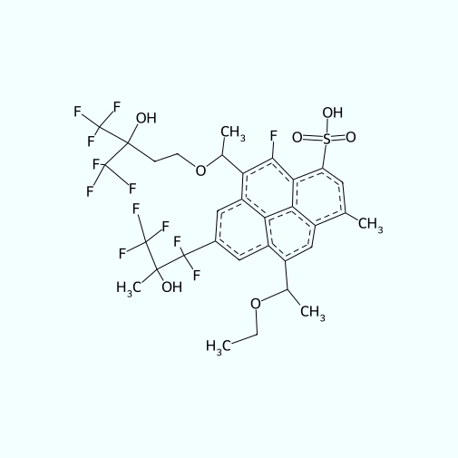 CCOC(C)c1cc2c(C)cc(S(=O)(=O)O)c3c(F)c(C(C)OCCC(O)(C(F)(F)F)C(F)(F)F)c4cc(C(F)(F)C(C)(O)C(F)(F)F)cc1c4c23